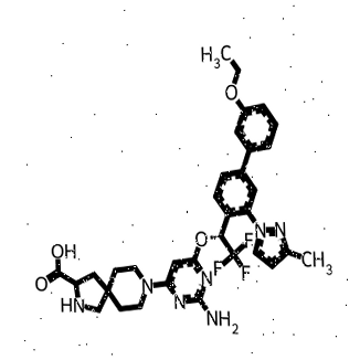 CCOc1cccc(-c2ccc([C@@H](Oc3cc(N4CCC5(CC4)CNC(C(=O)O)C5)nc(N)n3)C(F)(F)F)c(-n3ccc(C)n3)c2)c1